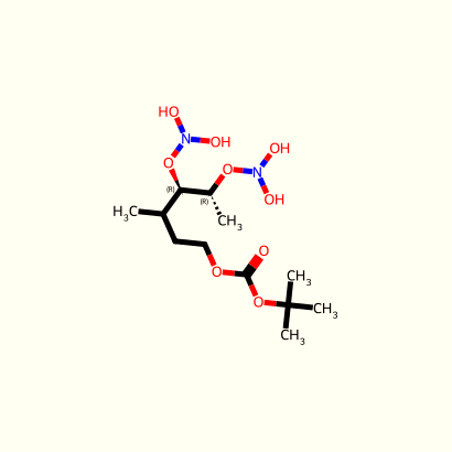 CC(CCOC(=O)OC(C)(C)C)[C@@H](ON(O)O)[C@@H](C)ON(O)O